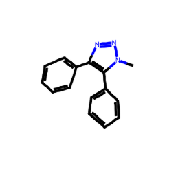 Cn1nnc(-c2ccccc2)c1-c1ccccc1